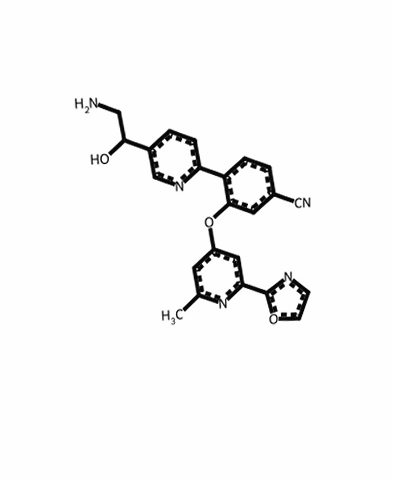 Cc1cc(Oc2cc(C#N)ccc2-c2ccc(C(O)CN)cn2)cc(-c2ncco2)n1